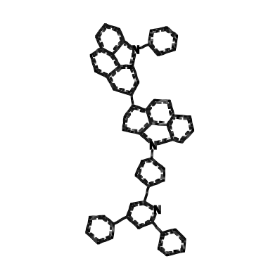 c1ccc(-c2cc(-c3ccccc3)nc(-c3ccc(-n4c5cccc6ccc7c(-c8cc9ccc%10cccc%11c%10c9c(c8)n%11-c8ccccc8)ccc4c7c65)cc3)c2)cc1